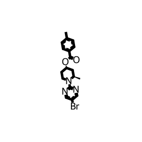 Cc1ccc(C(=O)O[C@H]2CCN(c3ncc(Br)cn3)[C@H](C)C2)cc1